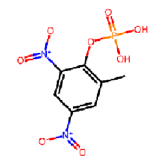 Cc1cc([N+](=O)[O-])cc([N+](=O)[O-])c1OP(=O)(O)O